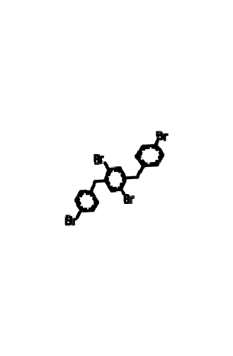 Brc1ccc(Cc2cc(Br)c(Cc3ccc(Br)cc3)cc2Br)cc1